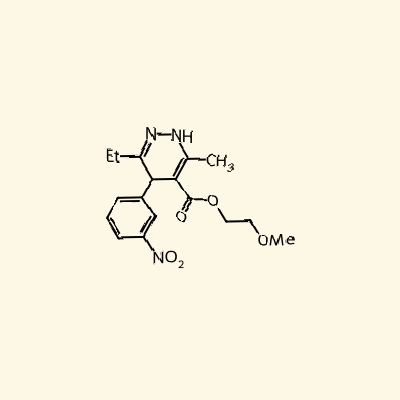 CCC1=NNC(C)=C(C(=O)OCCOC)C1c1cccc([N+](=O)[O-])c1